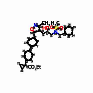 CCOC(=O)C1(c2ccc(-c3ccc(-c4onc(C)c4CC(O)CN(Cc4ccccc4)S(C)(=O)=O)cc3)cc2)CC1